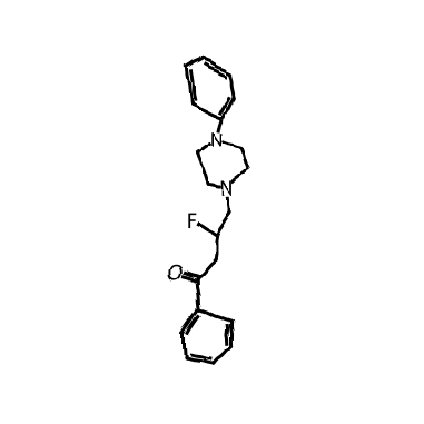 O=C(CC(F)CN1CCN(c2ccccc2)CC1)c1ccccc1